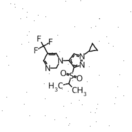 CC(C)S(=O)(=O)c1nn(C2CC2)cc1N1C=C(C(F)(F)F)C=NC1